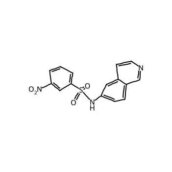 O=[N+]([O-])c1cccc(S(=O)(=O)Nc2ccc3cnccc3c2)c1